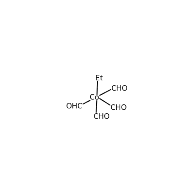 C[CH2][Co]([CH]=O)([CH]=O)([CH]=O)[CH]=O